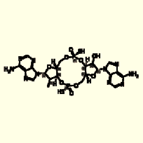 C[C@@H]1[C@@H]2O[P@@](=O)(S)OC[C@H]3O[C@@H](n4cnc5c(N)ncnc54)[C@H](O)[C@@H]3O[P@](=O)(S)OC[C@H]2O[C@H]1n1cnc2c(N)ncnc21